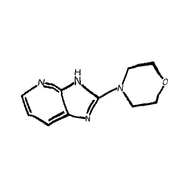 c1cnc2[nH]c(N3CCOCC3)nc2c1